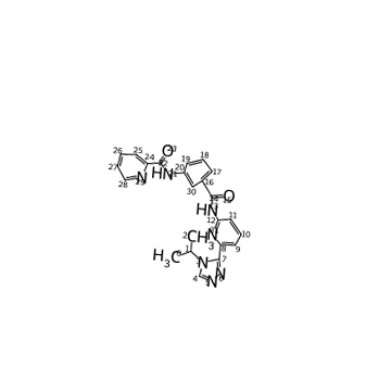 CC(C)n1cnnc1-c1cccc(NC(=O)c2cccc(NC(=O)c3ccccn3)c2)n1